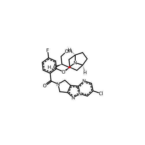 C[C@@H](CO)CN1[C@@H]2CC[C@H]1C[C@@H](Oc1cc(F)ccc1C(=O)N1Cc3nn4cc(Cl)cnc4c3C1)C2